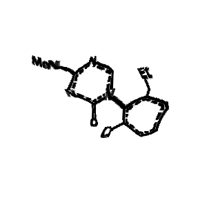 CCc1cccc(Cl)c1-n1cnc(NC)nc1=O